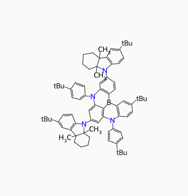 CC(C)(C)c1ccc(N2c3ccc(C(C)(C)C)cc3B3c4ccc(N5c6ccc(C(C)(C)C)cc6C6(C)CCCCC56C)cc4N(c4ccc(C(C)(C)C)cc4)c4cc(N5c6ccc(C(C)(C)C)cc6C6(C)CCCCC56C)cc2c43)cc1